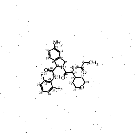 C[CH]C(=O)N[C@H](C(=O)N1Cc2cc(N)ccc2C1C(=O)Nc1c(F)cccc1F)C1CCOCC1